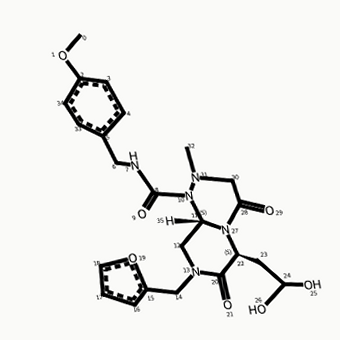 COc1ccc(CNC(=O)N2[C@H]3CN(Cc4ccco4)C(=O)[C@H](CC(O)O)N3C(=O)CN2C)cc1